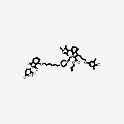 C=CCOC(=O)c1c(CCCOc2cc(C)c(Cl)c(C)c2)c2cccc(-c3c(C)nn(C)c3C)c2n1CCN1CCN(CCCCCCOc2cccc3c2C(=O)N(C2CCC(=O)NC2=O)C3=O)CC1